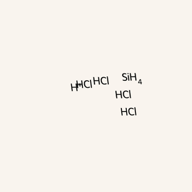 Cl.Cl.Cl.Cl.[H+].[SiH4]